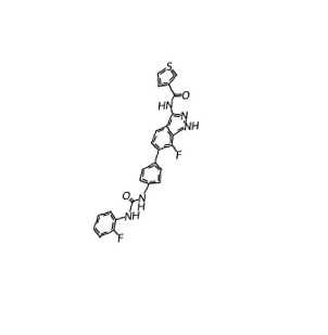 O=C(Nc1ccc(-c2ccc3c(NC(=O)c4ccsc4)n[nH]c3c2F)cc1)Nc1ccccc1F